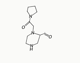 O=[C]C1CNCCN1CC(=O)N1CCCC1